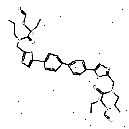 CCCN(Cc1ncc(-c2ccc(-c3ccc(-c4cnc(CN(CCC)C(=O)[C@H](CC)NC=O)s4)cc3)cc2)s1)C(=O)[C@H](CC)NC=O